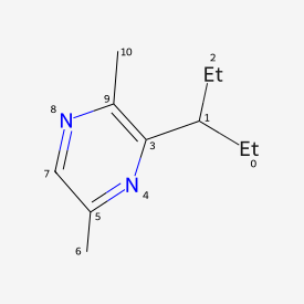 [CH2]CC(CC)c1nc(C)cnc1C